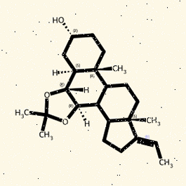 C/C=C1\CCC2C3C(CC[C@]12C)[C@@]1(C)CC[C@@H](O)C[C@@H]1[C@H]1OC(C)(C)O[C@H]31